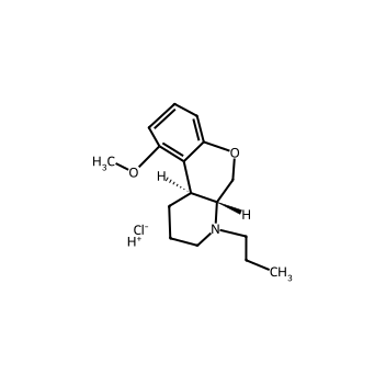 CCCN1CCC[C@H]2c3c(OC)cccc3OC[C@@H]21.[Cl-].[H+]